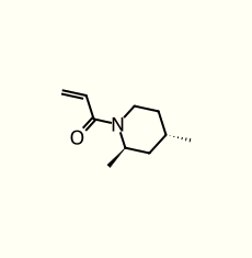 C=CC(=O)N1CC[C@H](C)C[C@H]1C